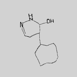 OC1NN=CC1C1CCCCC1